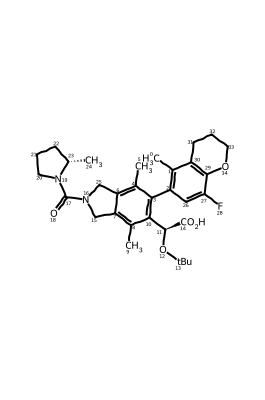 Cc1c(-c2c(C)c3c(c(C)c2[C@H](OC(C)(C)C)C(=O)O)CN(C(=O)N2CCC[C@@H]2C)C3)cc(F)c2c1CCCO2